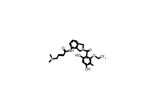 Cc1c(O)cc(O)c(C(=O)N2Cc3cccc(NC(=O)/C=C/CN(C)C)c3C2)c1OCC(F)(F)F